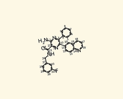 Nc1nc(-c2ccccc2)c(-c2ccc3ncccc3c2)nc1C(=O)NCc1cccc(F)c1